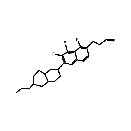 C=CCCc1ccc2cc(C3CCC4CC(CCC)CCC4C3)c(F)c(F)c2c1F